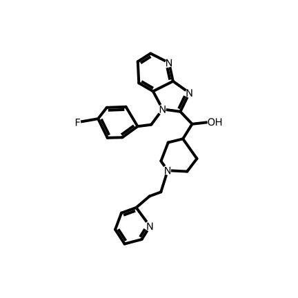 OC(c1nc2ncccc2n1Cc1ccc(F)cc1)C1CCN(CCc2ccccn2)CC1